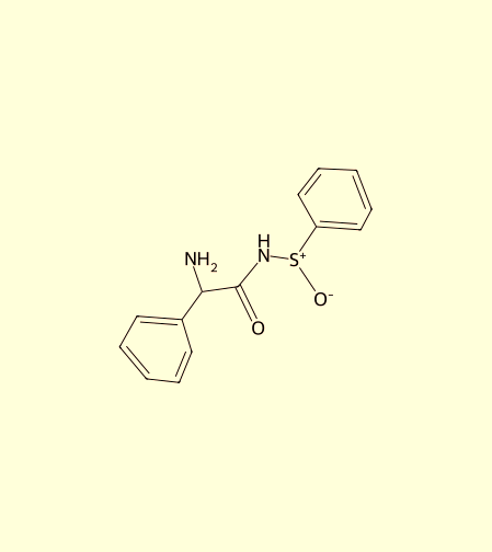 NC(C(=O)N[S+]([O-])c1ccccc1)c1ccccc1